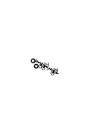 CCOC(=O)NCCSCC(=O)NC(CCCN1CCCCC1)Oc1ccccc1